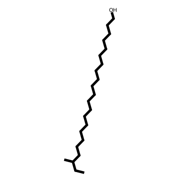 CCC(C)CCCCCCCCCCCCCCCCCCCO